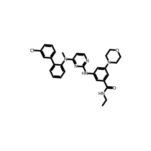 CCNC(=O)c1cc(Nc2nccc(N(C)c3ccccc3-c3cccc(Cl)c3)n2)cc(N2CCOCC2)c1